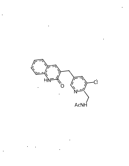 CC(=O)NCc1ncc(Cc2cc3ccccc3[nH]c2=O)cc1Cl